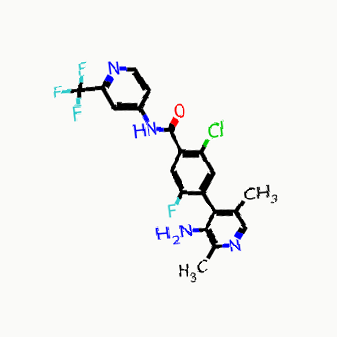 Cc1cnc(C)c(N)c1-c1cc(Cl)c(C(=O)Nc2ccnc(C(F)(F)F)c2)cc1F